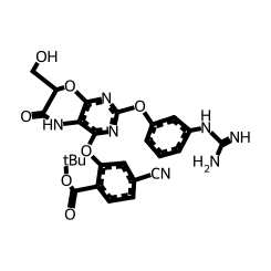 CC(C)(C)OC(=O)c1ccc(C#N)cc1Oc1nc(Oc2cccc(NC(=N)N)c2)nc2c1NC(=O)C(CO)O2